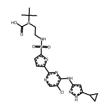 CC(C)(C)N(CCNS(=O)(=O)c1ccc(-c2ncc(Cl)c(Nc3cc(C4CC4)[nH]n3)n2)s1)C(=O)O